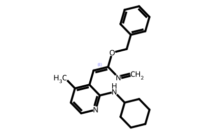 C=N/C(=C\c1c(C)ccnc1NC1CCCCC1)OCc1ccccc1